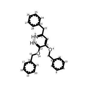 N=C(/C=C(/OCc1ccccc1)C(=N)OCc1ccccc1)Cc1ccccc1